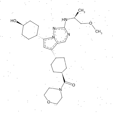 COC[C@H](C)Nc1ncc2c([C@H]3CC[C@H](C(=O)N4CCOCC4)CC3)cc([C@H]3CC[C@H](O)CC3)n2n1